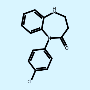 O=C1CCNc2ccccc2N1c1ccc(Cl)cc1